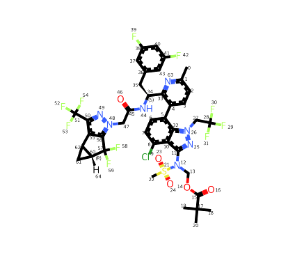 Cc1ccc(-c2ccc(Cl)c3c(N(COC(=O)C(C)(C)C)S(C)(=O)=O)nn(CC(F)(F)F)c23)c([C@H](Cc2cc(F)cc(F)c2)NC(=O)Cn2nc(C(F)(F)F)c3c2C(F)(F)[C@@H]2CC32)n1